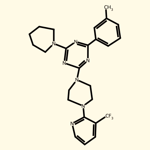 Cc1cccc(-c2nc(N3CCCCC3)nc(N3CCN(c4ncccc4C(F)(F)F)CC3)n2)c1